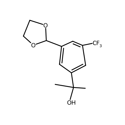 CC(C)(O)c1cc(C2OCCO2)cc(C(F)(F)F)c1